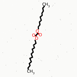 CCCCCCCCCCCCCCOC(=O)C(=O)OCCCCCCCCCCCC